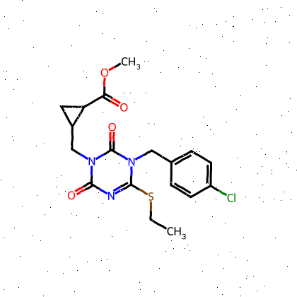 CCSc1nc(=O)n(CC2CC2C(=O)OC)c(=O)n1Cc1ccc(Cl)cc1